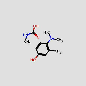 CNC(=O)O.Cc1cc(O)ccc1N(C)C